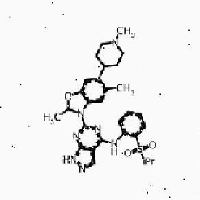 Cc1cc2c(cc1C1CCN(C)CC1)OC(C)N2c1nc(Nc2ccccc2S(=O)(=O)C(C)C)c2cn[nH]c2n1